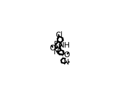 COc1nc(Nc2ccc(Cl)cc2F)c2cc(OC)c([C@H]3CCCN(C)C3)cc2n1